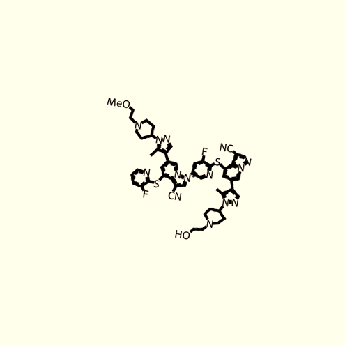 COCCN1CCC(n2ncc(-c3cc(Sc4ncccc4F)c4c(C#N)c[n+](-c5cnc(Sc6cc(-c7cnn(C8CCN(CCO)CC8)c7C)cn7ncc(C#N)c67)c(F)c5)n4c3)c2C)CC1